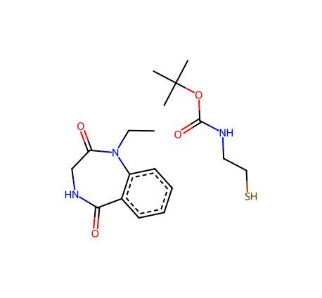 CC(C)(C)OC(=O)NCCS.CCN1C(=O)CNC(=O)c2ccccc21